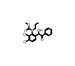 CCCN(C(=O)OC)c1c(C(O)C(=O)c2ccccc2)ccc(Cl)c1Cl